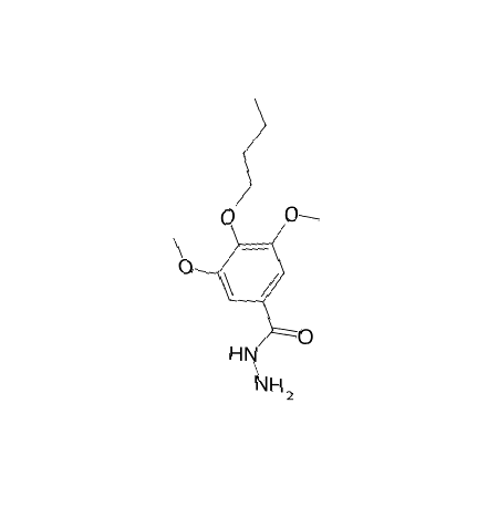 CCCCOc1c(OC)cc(C(=O)NN)cc1OC